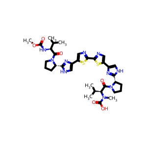 COC(=O)N[C@H](C(=O)N1CCC[C@H]1c1nc(-c2cnc(-c3ncc(-c4c[nH]c([C@@H]5CCCN5C(=O)[C@H](C(C)C)N(C)C(=O)O)n4)s3)s2)c[nH]1)C(C)C